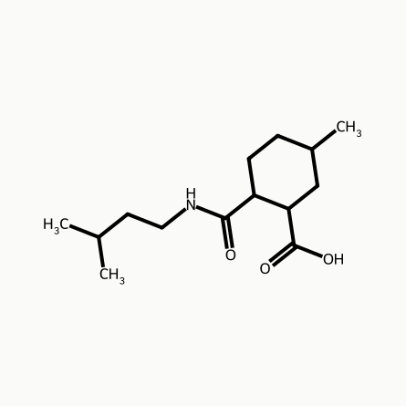 CC(C)CCNC(=O)C1CCC(C)CC1C(=O)O